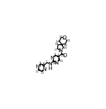 O=C(c1cnc(NCc2cnccn2)nc1)N1CCC2(CCOCC2)C1